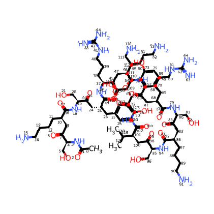 CC(=O)N[C@@H](CO)C(=O)C[C@@H](CCCCN)C(=O)N[C@@H](CO)C(=O)C[C@@H](Cc1ccc(O)cc1)C(=O)N[C@@H](CCCNC(=N)N)C(=O)C[C@@H](CCCCN)C(=O)N[C@@H](CCCNC(=N)N)C(=O)C[C@@H](Cc1ccc(O)cc1)C(=O)N[C@@H](CO)C(=O)C[C@@H](CCCCN)C(=O)N[C@@H](CO)C(=O)C[C@H](C(=O)NCC(=O)C[C@@H](CCCCN)C(=O)O)C(C)C